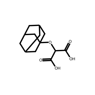 O=C(O)C(OC12CC3CC(CC(C3)C1)C2)C(=O)O